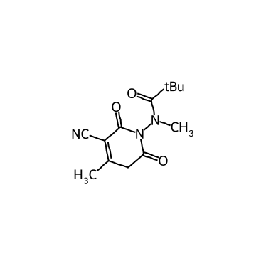 CC1=C(C#N)C(=O)N(N(C)C(=O)C(C)(C)C)C(=O)C1